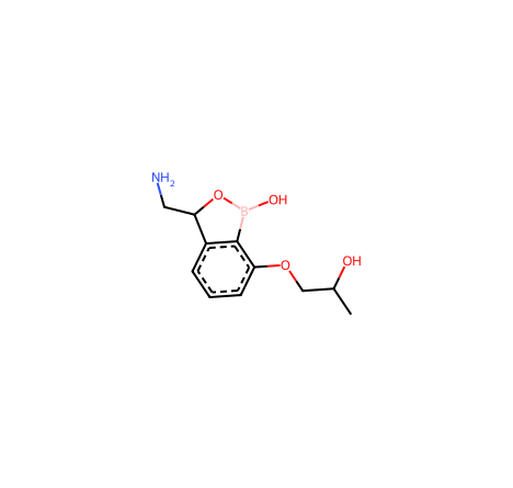 CC(O)COc1cccc2c1B(O)OC2CN